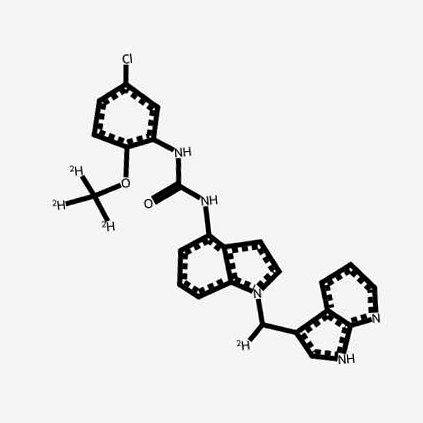 [2H]C(c1c[nH]c2ncccc12)n1ccc2c(NC(=O)Nc3cc(Cl)ccc3OC([2H])([2H])[2H])cccc21